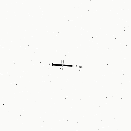 I[IH]I.[Si]